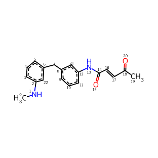 CNc1cccc(Cc2cccc(NC(=O)/C=C/C(C)=O)c2)c1